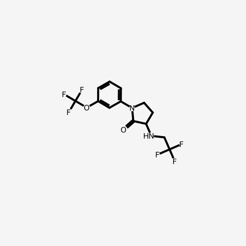 O=C1C(NCC(F)(F)F)CCN1c1cccc(OC(F)(F)F)c1